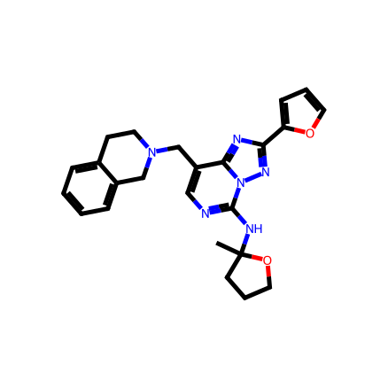 CC1(Nc2ncc(CN3CCc4ccccc4C3)c3nc(-c4ccco4)nn23)CCCO1